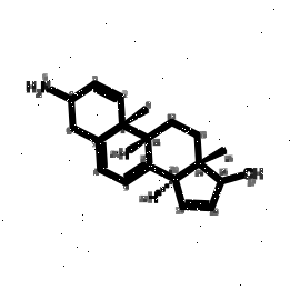 C[C@]12C=CC(N)CC1=CC=C1[C@H]2CC[C@]2(C)C(O)C=C[C@@H]12